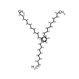 CCCCCCCCCCCCc1n(CCCCCCCCC)cc[n+]1CCCCCCCCCC